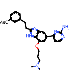 COc1cccc(CCc2nc3cc(-c4ccnc(N)n4)cc(OCCCN(C)C)c3[nH]2)c1